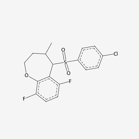 CC1CCOc2c(F)ccc(F)c2C1S(=O)(=O)c1ccc(Cl)cc1